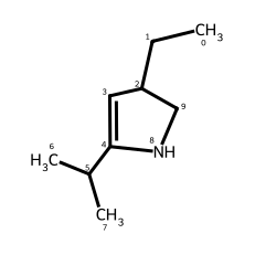 CCC1C=C(C(C)C)NC1